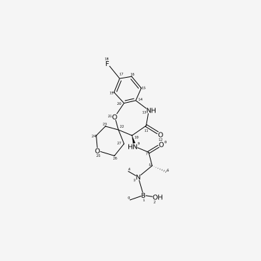 CB(O)N(C)[C@@H](C)C(=O)N[C@@H]1C(=O)Nc2ccc(F)cc2OC12CCOCC2